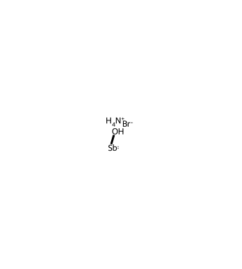 [Br-].[NH4+].[OH][Sb]